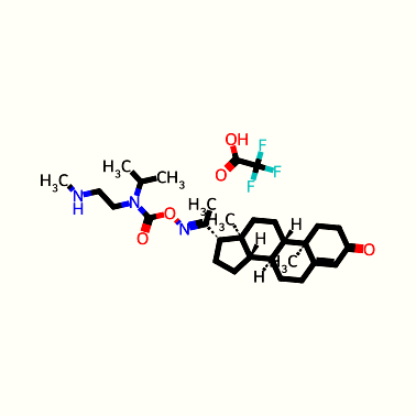 CNCCN(C(=O)O/N=C(\C)[C@H]1CC[C@H]2[C@@H]3CCC4=CC(=O)CC[C@]4(C)[C@H]3CC[C@]12C)C(C)C.O=C(O)C(F)(F)F